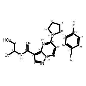 CCC(CO)NC(=O)c1cnn2ccc(N3CCC[C@@H]3c3cc(F)ccc3F)nc12